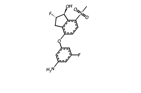 CS(=O)(=O)c1ccc(Oc2cc(N)cc(F)c2)c2c1[C@H](O)[C@@H](F)C2